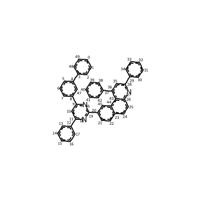 c1ccc(-c2cccc(-c3cc(-c4ccccc4)nc(-c4ccc5ccc6nc(-c7ccccc7)cc(-c7ccccc7)c6c5c4)n3)c2)cc1